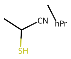 CC(S)C#N.CCCC